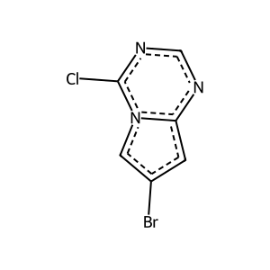 Clc1ncnc2cc(Br)cn12